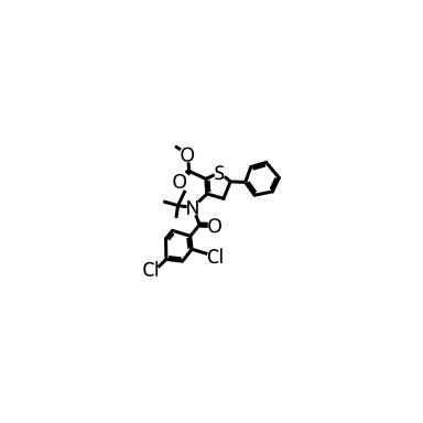 COC(=O)C1=C(N(C(=O)c2ccc(Cl)cc2Cl)C(C)(C)C)CC(c2ccccc2)S1